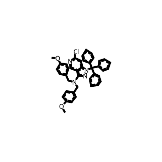 COc1ccc(CN(Cc2ccc(OC)cc2)c2nn(C(c3ccccc3)(c3ccccc3)c3ccccc3)c3cc(Cl)ncc23)cc1